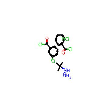 CC(C)(C)NN.Cl.O=C(Cl)c1cccc(Cl)c1.O=C(Cl)c1ccccc1